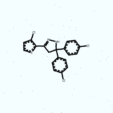 Clc1ccc(C2(c3ccc(Cl)cc3)CC(c3sccc3Cl)=NN2)cc1